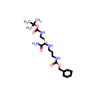 CC(C)(C)OC(=O)NCC[C@H](NCCCNC(=O)OCc1ccccc1)C(N)=O